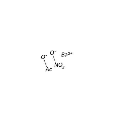 CC(=O)[O-].O=[N+]([O-])[O-].[Ba+2]